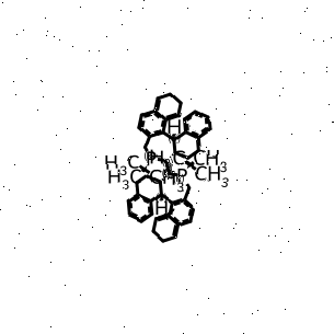 CC(C)(C)[P@@]1Cc2ccc3c(c2[C@@H]2c4ccccc4CCC2[C@@H]1[C@H]1C2CCc4ccccc4[C@H]2c2c(ccc4c2=CCCC=4)C[P@]1C(C)(C)C)=CCCC=3